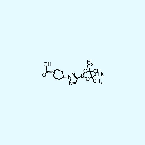 CC1(C)OB(c2cnn(C3CCN(C(=O)O)CC3)n2)OC1(C)C